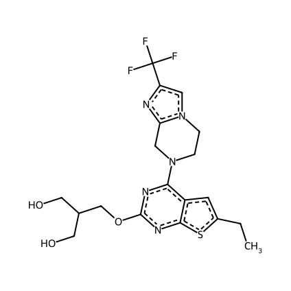 CCc1cc2c(N3CCn4cc(C(F)(F)F)nc4C3)nc(OCC(CO)CO)nc2s1